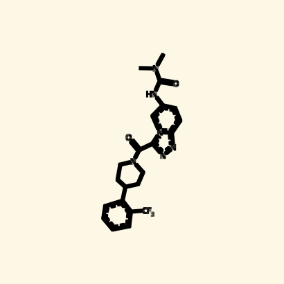 CN(C)C(=O)Nc1ccc2nnc(C(=O)N3CCC(c4ccccc4C(F)(F)F)CC3)n2c1